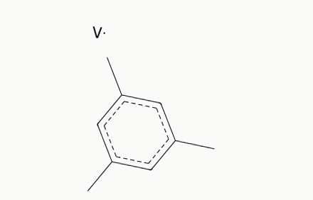 Cc1cc(C)cc(C)c1.[V]